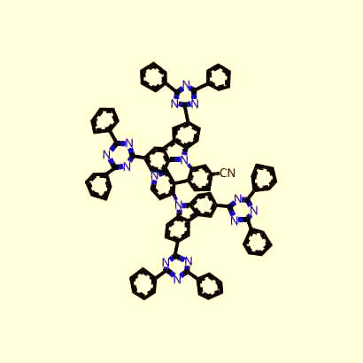 N#Cc1ccc(-c2cnccc2-n2c3ccc(-c4nc(-c5ccccc5)nc(-c5ccccc5)n4)cc3c3cc(-c4nc(-c5ccccc5)nc(-c5ccccc5)n4)ccc32)c(-n2c3ccc(-c4nc(-c5ccccc5)nc(-c5ccccc5)n4)cc3c3cc(-c4nc(-c5ccccc5)nc(-c5ccccc5)n4)ccc32)c1